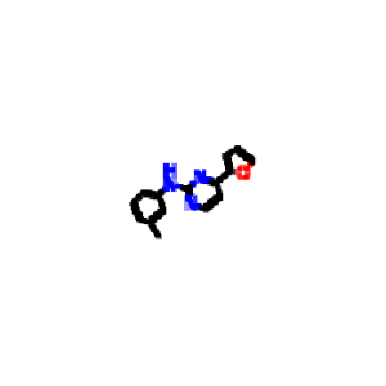 Cc1cccc(Nc2nccc(-c3ccco3)n2)c1